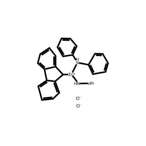 CCC[NH][Zr+2]([CH]1c2ccccc2-c2ccccc21)[SiH](c1ccccc1)c1ccccc1.[Cl-].[Cl-]